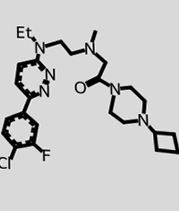 CCN(CCN(C)CC(=O)N1CCN(C2CCC2)CC1)c1ccc(-c2ccc(Cl)c(F)c2)nn1